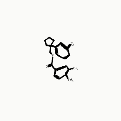 Cc1ccc(C(=O)OCC2(c3cccc(Cl)c3)CCCC2)cc1C